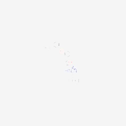 O=C(O)CSc1nnc(-c2ccc(-c3cccc(OCc4cccc(C(F)(F)F)c4)c3)o2)[nH]1